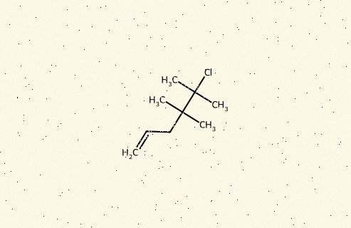 C=CCC(C)(C)C(C)(C)Cl